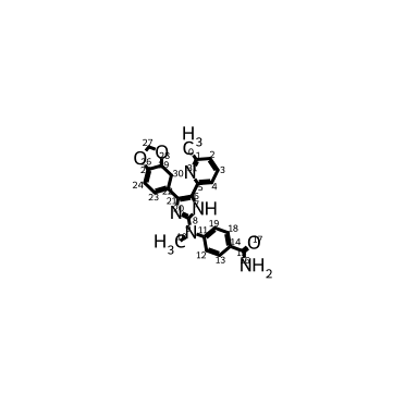 Cc1cccc(-c2[nH]c(N(C)c3ccc(C(N)=O)cc3)nc2C2=CC=C3OCOC3C2)n1